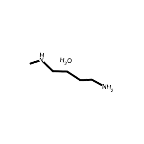 CNCCCCN.O